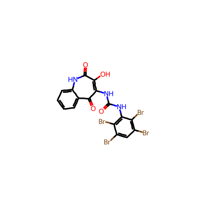 O=C(Nc1c(Br)c(Br)cc(Br)c1Br)Nc1c(O)c(=O)[nH]c2ccccc2c1=O